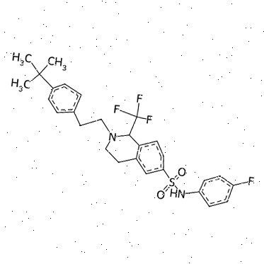 CC(C)(C)c1ccc(CCN2CCc3cc(S(=O)(=O)Nc4ccc(F)cc4)ccc3C2C(F)(F)F)cc1